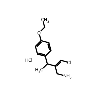 CCOc1ccc(C(C)C(=CCl)CN)cc1.Cl